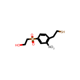 O=[N+]([O-])c1cc(S(=O)(=O)CCO)ccc1CCS